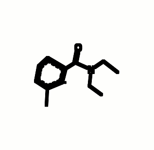 CCN(CC)C(=O)c1[c]c(C)ccc1